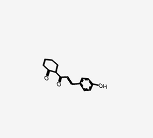 O=C(/C=C/c1ccc(O)cc1)C1CCCCC1=O